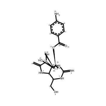 C=C1NC2C(CO)NC(=N)N3C[C@H](OC(=O)c4ccc(N)cc4)[C@](C)(O)C23N1O